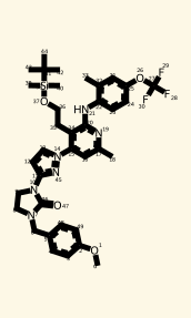 COc1ccc(CN2CCN(c3ccn(-c4cc(C)nc(Nc5ccc(OC(F)(F)F)cc5C)c4CCO[Si](C)(C)C(C)(C)C)n3)C2=O)cc1